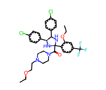 CCOCCN1CCN(C(=O)C2(c3ccc(C(F)(F)F)cc3OCC)NC(c3ccc(Cl)cc3)C(c3ccc(Cl)cc3)N2)CC1